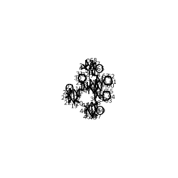 CN1C(C)(C)CN(CCN(c2nc(N(CCN3CC(C)(C)N(C)C(C)(C)C3=O)C3CCCCC3)nc(N(CCN3CC(C)(C)N(C)C(C)(C)C3=O)C3CCCCC3)n2)C2CCCCC2)C(=O)C1(C)C